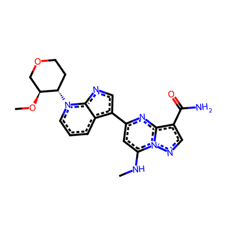 CNc1cc(-c2cnc3n([C@H]4CCOC[C@@H]4OC)cccc2-3)nc2c(C(N)=O)cnn12